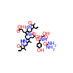 C=CC1=C(C)/C(=C/c2[nH]c(Cc3[nH]c(/C=C4\NC(=O)C(C)=C4C=C)c(C)c3CCC(=O)O)c(CCC(=O)O)c2C)NC1=O.NC(N)=O.O=C(O)CNC(=O)c1ccc(O)cc1